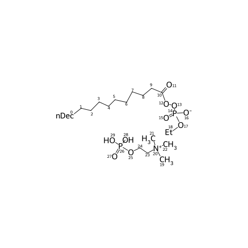 CCCCCCCCCCCCCCCCCCCC(=O)OOP(=O)([O-])OCC.C[N+](C)(C)CCOP(=O)(O)O